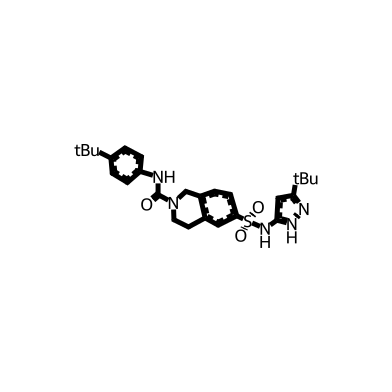 CC(C)(C)c1ccc(NC(=O)N2CCc3cc(S(=O)(=O)Nc4cc(C(C)(C)C)n[nH]4)ccc3C2)cc1